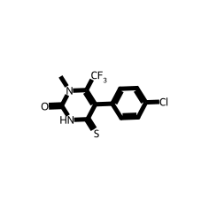 Cn1c(C(F)(F)F)c(-c2ccc(Cl)cc2)c(=S)[nH]c1=O